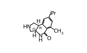 Cc1cc(C(C)C)cc2c1C(=O)N[C@@H]1CNC[C@@H]21